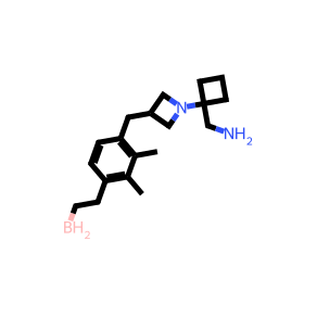 BCCc1ccc(CC2CN(C3(CN)CCC3)C2)c(C)c1C